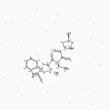 CC[C@H]1CN[C@H](C(=O)N(C)[C@@H](CC(C)(C)C)C(=O)N2C[C@]3(C[C@H]2C#N)C(=O)Nc2ccccc23)C1